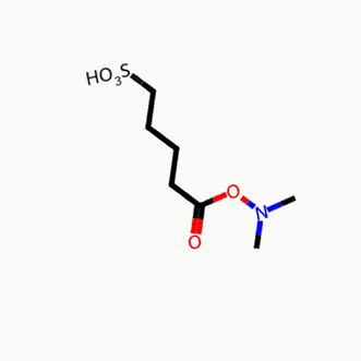 CN(C)OC(=O)CCCCS(=O)(=O)O